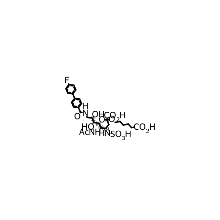 CC(=O)N[C@H]1[C@H]([C@H](O)[C@H](O)CNC(=O)c2ccc(-c3ccc(F)cc3)cc2)O[C@@](OCCCCCC(=O)O)(C(=O)O)C[C@@H]1NS(=O)(=O)O